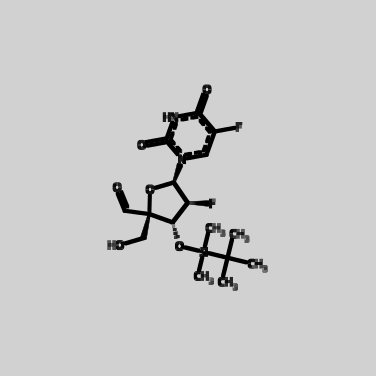 CC(C)(C)[Si](C)(C)O[C@H]1[C@H](F)[C@H](n2cc(F)c(=O)[nH]c2=O)O[C@]1(C=O)CO